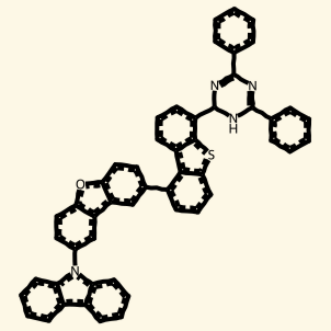 c1ccc(C2=NC(c3cccc4c3sc3cccc(-c5ccc6oc7ccc(-n8c9ccccc9c9ccccc98)cc7c6c5)c34)NC(c3ccccc3)=N2)cc1